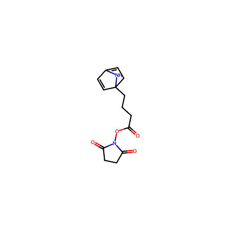 O=C(CCCC12C=CC(=CC1)N2)ON1C(=O)CCC1=O